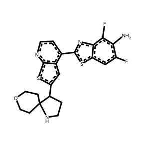 Nc1c(F)cc2sc(-c3ccnc4sc(C5CCNC56CCOCC6)cc34)nc2c1F